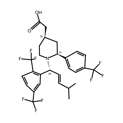 CC(C)C=C[C@H](c1cc(C(F)(F)F)ccc1C(F)(F)F)N1CC[C@@H](CC(=O)O)C[C@H]1c1ccc(C(F)(F)F)cc1